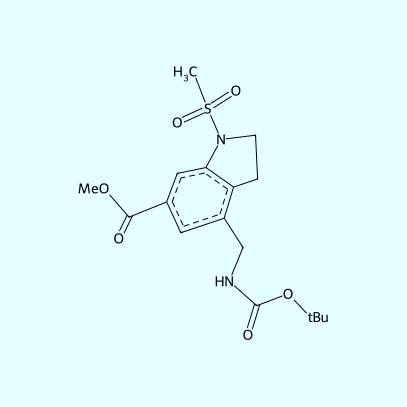 COC(=O)c1cc(CNC(=O)OC(C)(C)C)c2c(c1)N(S(C)(=O)=O)CC2